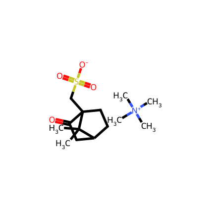 CC1(C)C2CCC1(CS(=O)(=O)[O-])C(=O)C2.C[N+](C)(C)C